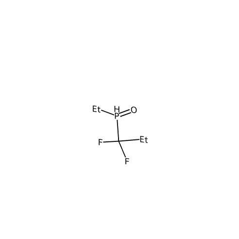 CC[PH](=O)C(F)(F)CC